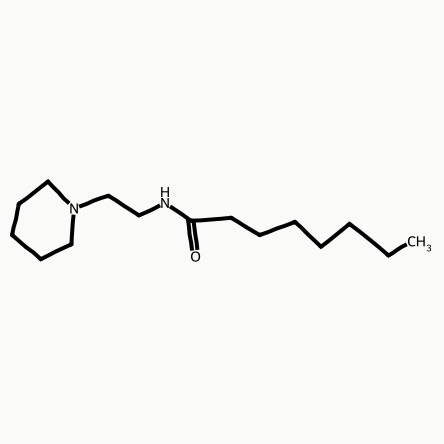 CCCCCCCC(=O)NCCN1CCCCC1